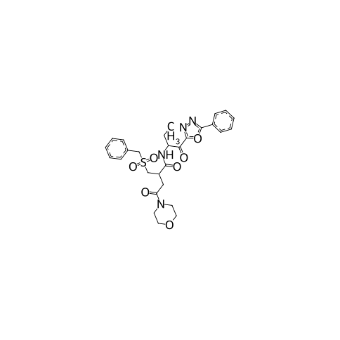 CCC(NC(=O)C(CC(=O)N1CCOCC1)CS(=O)(=O)Cc1ccccc1)C(=O)c1nnc(-c2ccccc2)o1